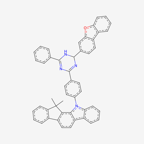 CC1(C)c2ccccc2-c2ccc3c4ccccc4n(-c4ccc(C5=NC(c6ccc7c(c6)oc6ccccc67)NC(c6ccccc6)=N5)cc4)c3c21